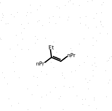 [CH2]CC/C(=C/CCC)CC